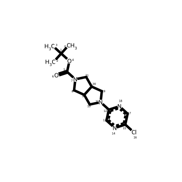 CC(C)(C)OC(=O)N1CC2CN(c3cnc(Cl)cn3)CC2C1